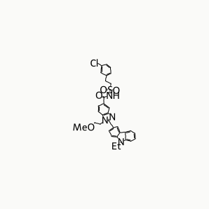 CCn1c2ccccc2c2cc(-c3nc4cc(C(=O)NS(=O)(=O)CCc5cccc(Cl)c5)ccc4n3CCOC)ccc21